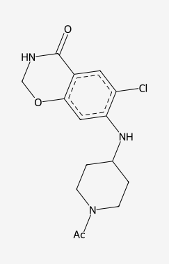 CC(=O)N1CCC(Nc2cc3c(cc2Cl)C(=O)NCO3)CC1